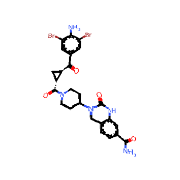 NC(=O)c1ccc2c(c1)NC(=O)N(C1CCN(C(=O)[C@@H]3C[C@H]3C(=O)c3cc(Br)c(N)c(Br)c3)CC1)C2